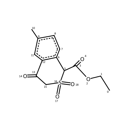 CCOC(=O)C1c2ccc(C)cc2C(=O)CS1(=O)=O